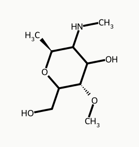 CNC1C(O)[C@H](OC)C(CO)O[C@H]1C